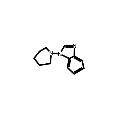 c1ccc2c(c1)ncn2N1CCCCC1